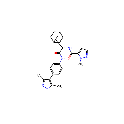 Cc1n[nH]c(C)c1-c1ccc(NC(=O)[C@@H](NC(=O)c2ccnn2C)C2CC3CCC2CC3)cc1